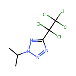 CC(C)n1nnc(C(Cl)(Cl)C(Cl)(Cl)Cl)n1